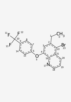 CCc1cc(Oc2ccc(C(F)(F)F)cc2)c2ncccc2c1Br